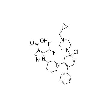 O=C(O)c1cnn(C2CCCN(C3=C(c4ccccc4)C=CC(Cl)(N4CCN(CC5CC5)CC4)C3)C2)c1C(F)F